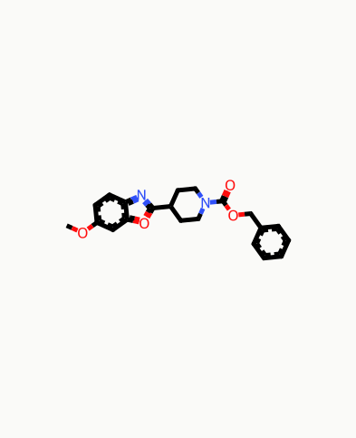 COc1ccc2nc(C3CCN(C(=O)OCc4ccccc4)CC3)oc2c1